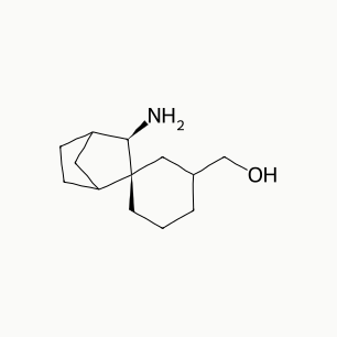 N[C@@H]1C2CCC(C2)[C@]12CCCC(CO)C2